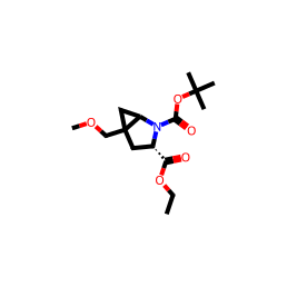 CCOC(=O)[C@@H]1CC2(COC)CC2N1C(=O)OC(C)(C)C